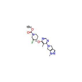 Cc1c(O[C@H]2CCN(C(=O)OC(C)(C)C)C[C@H]2F)ncnc1N1Cc2cnn(C)c2C1